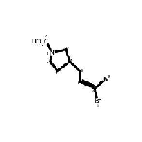 O=C(O)N1CCC(CC=C(Br)Br)C1